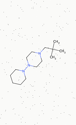 CC(C)(C)CN1CCN(N2CCCCC2)CC1